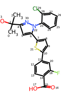 CC(C)(O)c1cc(-c2ccc(-c3ccc(C(=O)O)c(F)c3)s2)n(-c2ccccc2Cl)n1